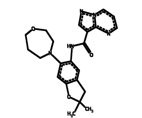 CC1(C)Cc2cc(NC(=O)c3cnn4cccnc34)c(N3CCCOCC3)cc2O1